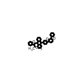 CC(C)c1c(-c2c3ccccc3c(-c3ccc4c(c3)oc3c4ccc4oc5ccccc5c43)c3ccccc23)oc2ccccc12